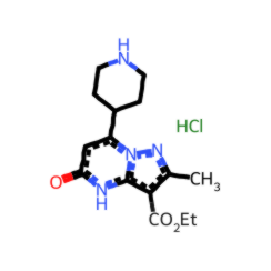 CCOC(=O)c1c(C)nn2c(C3CCNCC3)cc(=O)[nH]c12.Cl